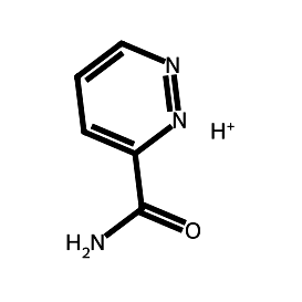 NC(=O)c1cccnn1.[H+]